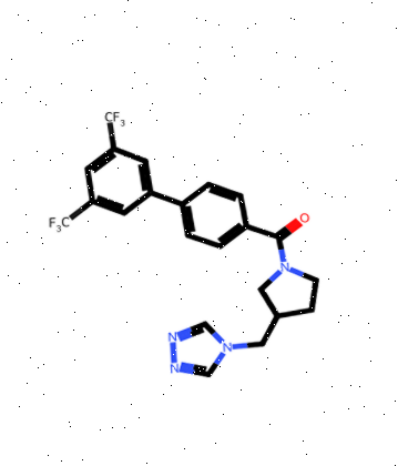 O=C(c1ccc(-c2cc(C(F)(F)F)cc(C(F)(F)F)c2)cc1)N1CCC(Cn2cnnc2)C1